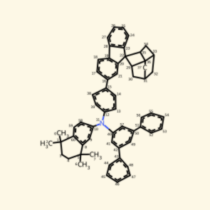 CC1(C)CCC(C)(C)c2cc(N(c3ccc(-c4ccc5c(c4)C4(c6ccccc6-5)C5CC6CC7CC4C75C6)cc3)c3cc(-c4ccccc4)cc(-c4ccccc4)c3)ccc21